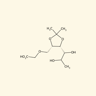 CC(O)C(O)[C@H]1OC(C)(C)O[C@H]1COCC(=O)O